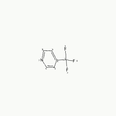 FC(F)(F)c1[c]cncc1